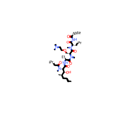 C/C=C/C[C@@H](C)[C@@H](O)[C@@H](C(=O)N[C@@H](CC)C(=O)N(C)[C@H](COCCN(C)C)C(=O)N(C)[C@@H](CC(C)C)C(=O)NC(=O)NC)N(C)C(=O)CC(C)C